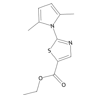 CCOC(=O)c1cnc(-n2c(C)ccc2C)s1